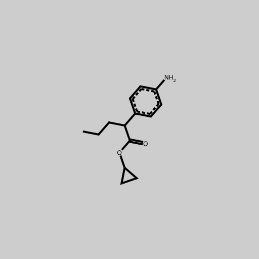 CCCC(C(=O)OC1CC1)c1ccc(N)cc1